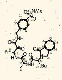 CNS(=O)(=O)c1ccc(CNC(=O)C(=O)[C@@H](NC(=O)[C@H](C)NC(=O)[C@@H](N2Cc3ccccc3C2=O)C(C)(C)C)C(C)C)cc1